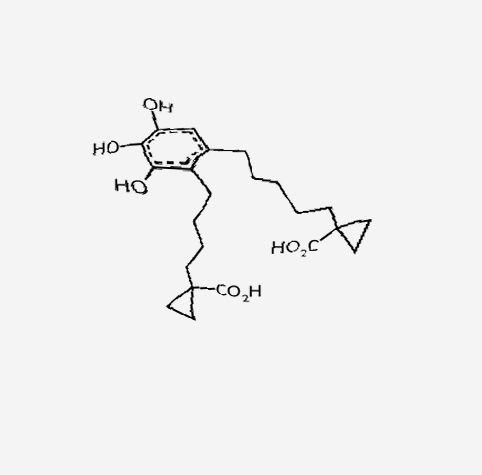 O=C(O)C1(CCCCCc2cc(O)c(O)c(O)c2CCCCC2(C(=O)O)CC2)CC1